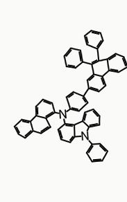 c1ccc(-c2c(-c3ccccc3)c3cc(-c4ccc(N(c5cccc6c5ccc5ccccc56)c5cccc6c5c5ccccc5n6-c5ccccc5)cc4)ccc3c3ccccc23)cc1